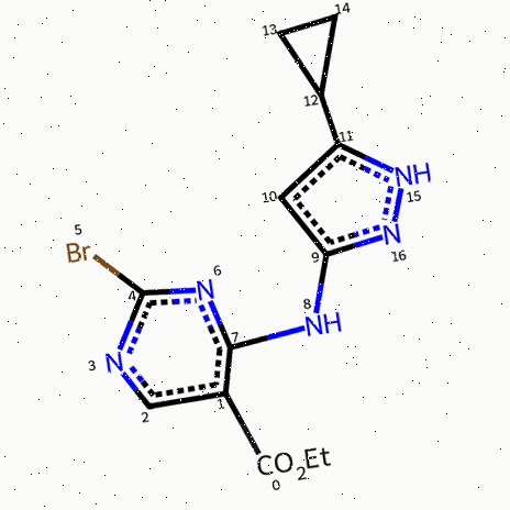 CCOC(=O)c1cnc(Br)nc1Nc1cc(C2CC2)[nH]n1